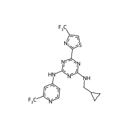 FC(F)(F)c1cc(Nc2nc(NCC3CC3)nc(-c3nc(C(F)(F)F)cs3)n2)ccn1